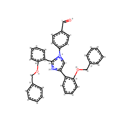 O=Cc1ccc(-n2cc(-c3ccccc3OCc3ccccc3)nc2-c2ccccc2OCc2ccccc2)cc1